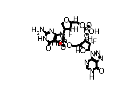 Nc1nc2c(ncn2[C@@]23CO[C@H](COP(=O)(O)O[C@H]4[C@H](F)[C@H](n5nnc6c(=O)[nH]cnc65)O[C@@H]4COP(=O)(S)O2)[C@H]3F)c(=O)[nH]1